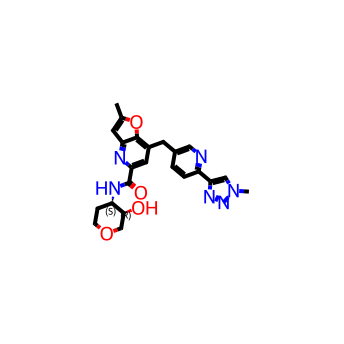 Cc1cc2nc(C(=O)N[C@H]3CCOC[C@@H]3O)cc(Cc3ccc(-c4cn(C)nn4)nc3)c2o1